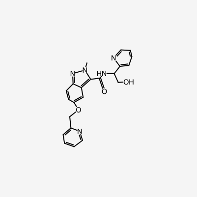 Cn1nc2ccc(OCc3ccccn3)cc2c1C(=O)NC(CO)c1ccccn1